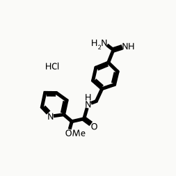 COC(C(=O)NCc1ccc(C(=N)N)cc1)c1ccccn1.Cl